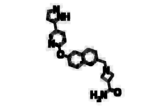 NC(=O)C1CN(Cc2ccc3cc(Oc4ccc(-c5ccn[nH]5)cn4)ccc3c2)C1